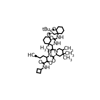 C#CCCC(NC(=O)[C@@H]1CC(C)(C)C(C)CN1C(=O)[C@@H](NC(=O)NC1(CS(=O)(=O)C(C)(C)C)CCCCC1)C1(C)CCCCC1)C(=O)C(=O)NC1CCC1